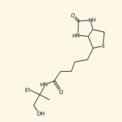 CCC(C)(CO)NC(=O)CCCCC1SCC2NC(=O)NC21